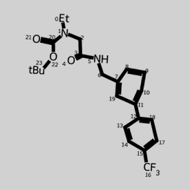 CCN(CC(=O)NCc1cccc(-c2ccc(C(F)(F)F)cc2)c1)C(=O)OC(C)(C)C